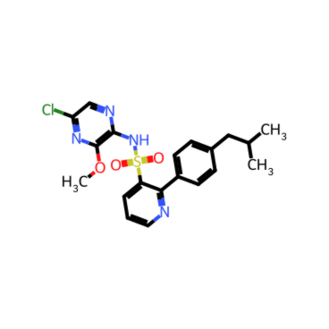 COc1nc(Cl)cnc1NS(=O)(=O)c1cccnc1-c1ccc(CC(C)C)cc1